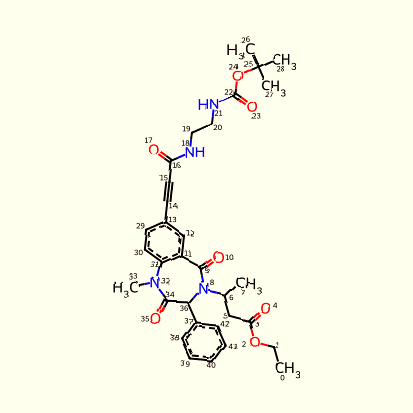 CCOC(=O)CC(C)N1C(=O)c2cc(C#CC(=O)NCCNC(=O)OC(C)(C)C)ccc2N(C)C(=O)C1c1ccccc1